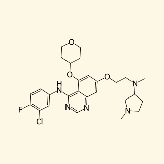 CN1CCC(N(C)CCOc2cc(OC3CCOCC3)c3c(Nc4ccc(F)c(Cl)c4)ncnc3c2)C1